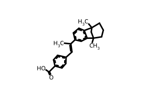 CC(=Cc1ccc(C(=O)O)cc1)c1ccc2c(c1)C1(C)CCCC2(C)C1